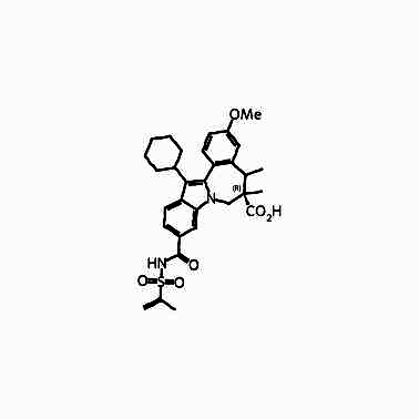 C=C(C)S(=O)(=O)NC(=O)c1ccc2c(C3CCCCC3)c3n(c2c1)C[C@](C)(C(=O)O)C(C)c1cc(OC)ccc1-3